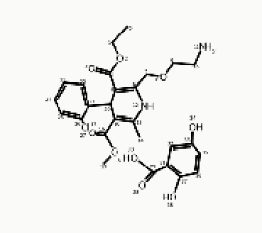 CCOC(=O)C1=C(COCCN)NC(C)=C(C(=O)OC)C1c1ccccc1Cl.O=C(O)c1cc(O)ccc1O